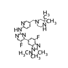 Cc1nc2c(F)cc(-c3nc(Nc4ccc(CN5CCNC(C)(C)C5)cn4)ncc3F)cc2n1N(C)C